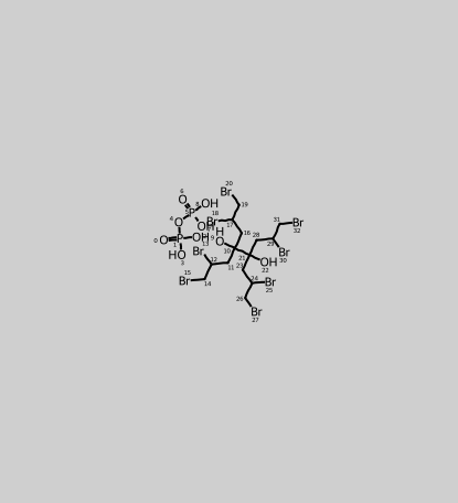 O=P(O)(O)OP(=O)(O)O.OC(CC(Br)CBr)(CC(Br)CBr)C(O)(CC(Br)CBr)CC(Br)CBr